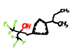 CCC(C)c1ccc(CC(O)(C(F)(F)F)C(F)(F)F)cc1